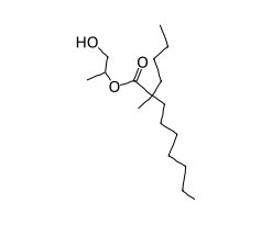 CCCCCCCC(C)(CCCC)C(=O)OC(C)CO